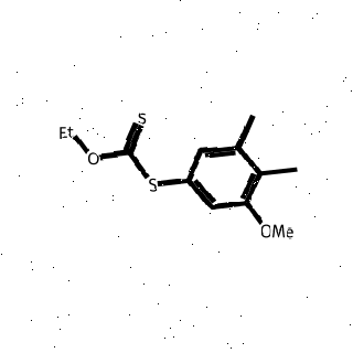 CCOC(=S)Sc1cc(C)c(C)c(OC)c1